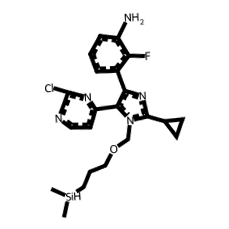 C[SiH](C)CCCOCn1c(C2CC2)nc(-c2cccc(N)c2F)c1-c1ccnc(Cl)n1